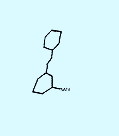 CSC1CCCC(CCC2CCCCC2)C1